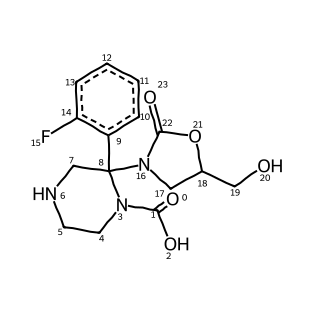 O=C(O)N1CCNCC1(c1ccccc1F)N1CC(CO)OC1=O